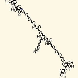 [N-]=[N+]=NCCCCCC(=O)NC(COCCC(=O)NCCOCCOCCOCCO/C=C1/OC[C@H](Nc2cncc(C(F)(F)F)n2)[C@@H](O)[C@H]1O)COCCC(=O)NCCOCCOCCOCCOC[C@H]1OC[C@H](Nc2cncc(C(F)(F)F)n2)[C@@H](O)[C@H]1O